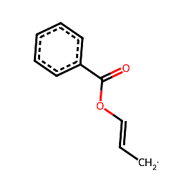 [CH2]/C=C/OC(=O)c1ccccc1